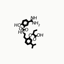 CCC(Oc1cc(C(C)C)ccc1CCNS(=O)(=O)c1cc(C(=N)N)ccc1O)C(=O)O